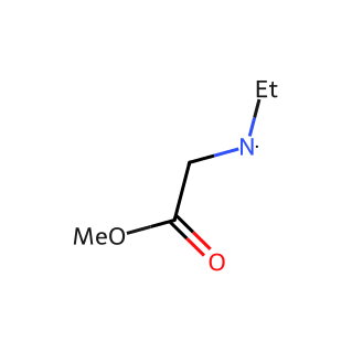 CC[N]CC(=O)OC